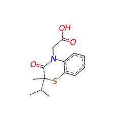 CC(C)C1(C)Sc2ccccc2N(CC(=O)O)C1=O